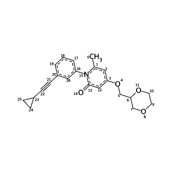 Cc1cc(OCC2COCCO2)cc(=O)n1-c1cccc(C#CC2CC2)c1